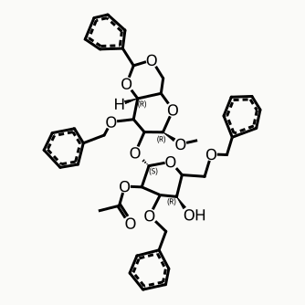 CO[C@@H]1OC2COC(c3ccccc3)O[C@H]2C(OCc2ccccc2)C1O[C@@H]1OC(COCc2ccccc2)[C@@H](O)C(OCc2ccccc2)C1OC(C)=O